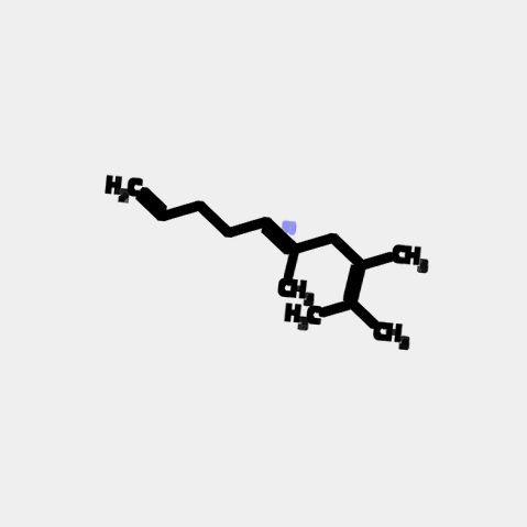 C=CCC/C=C(\C)CC(C)=C(C)C